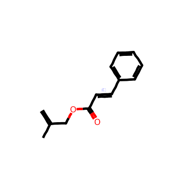 C=C(C)COC(=O)/C=C/c1ccccc1